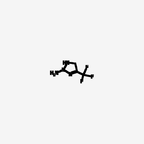 NN1N=C(C(F)(F)F)CN1